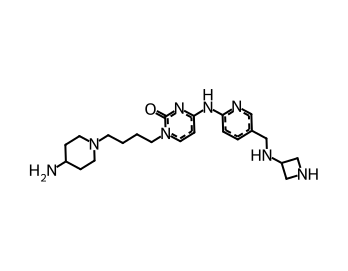 NC1CCN(CCCCn2ccc(Nc3ccc(CNC4CNC4)cn3)nc2=O)CC1